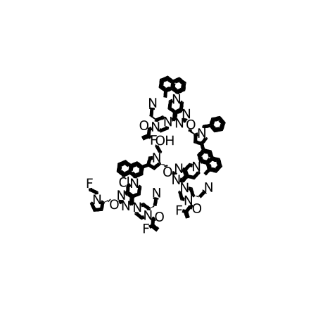 C=C(F)C(=O)N1CCN(c2nc(OC[C@@H]3CC(c4cc(N5CCc6c(nc(OC[C@@H]7CCCN7CCF)nc6N6CCN(C(=O)C(=C)F)[C@@H](CC#N)C6)C5)c5c(Cl)cccc5c4)CN3CCO)nc3c2CCN(c2cc(C4C[C@@H](COc5nc6c(c(N7CCN(C(=O)C(=C)F)[C@@H](CC#N)C7)n5)CCN(c5cccc7cccc(C)c57)C6)N(Cc5ccccc5)C4)cc4cccc(C)c24)C3)C[C@@H]1CC#N